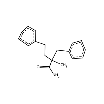 CC(CCc1ccccc1)(Cc1ccccc1)C(N)=O